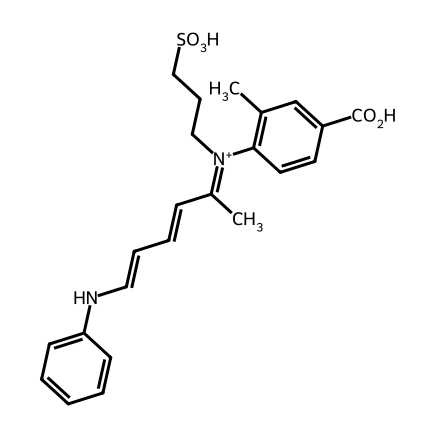 CC(/C=C/C=C/Nc1ccccc1)=[N+](/CCCS(=O)(=O)O)c1ccc(C(=O)O)cc1C